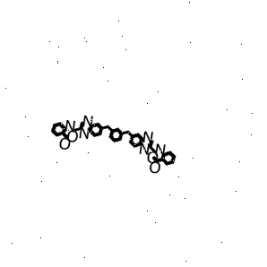 O=c1oc(-c2cnc3cc(Cc4cccc(Cc5ccc6nc(-c7nc8ccccc8c(=O)o7)cnc6c5)c4)ccc3n2)nc2ccccc12